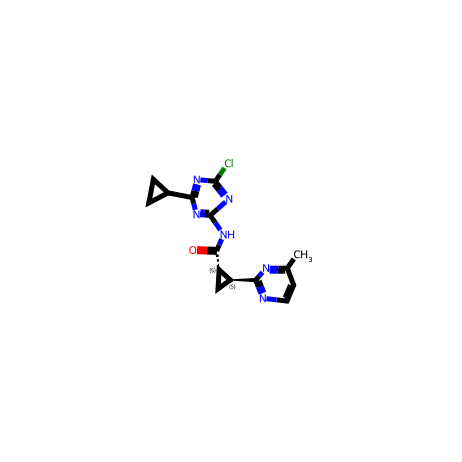 Cc1ccnc([C@H]2C[C@@H]2C(=O)Nc2nc(Cl)nc(C3CC3)n2)n1